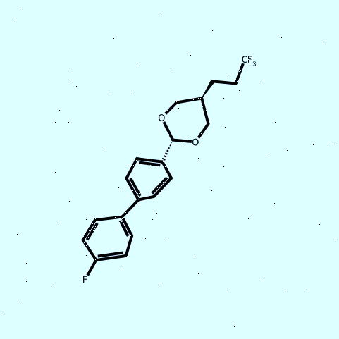 Fc1ccc(-c2ccc([C@H]3OC[C@H](CCC(F)(F)F)CO3)cc2)cc1